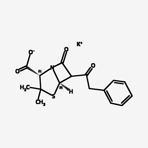 CC1(C)S[C@@H]2C(C(=O)Cc3ccccc3)C(=O)N2[C@H]1C(=O)[O-].[K+]